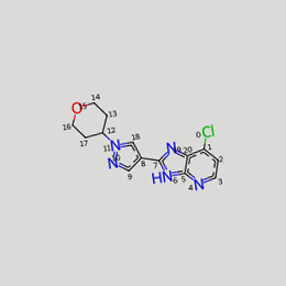 Clc1ccnc2[nH]c(-c3cnn(C4CCOCC4)c3)nc12